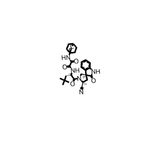 CC(C)(C)C[C@H](NC(=O)C(=O)NC12CCC(CC1)CC2)C(=O)N1C[C@]2(C[C@H]1C#N)C(=O)Nc1ccccc12